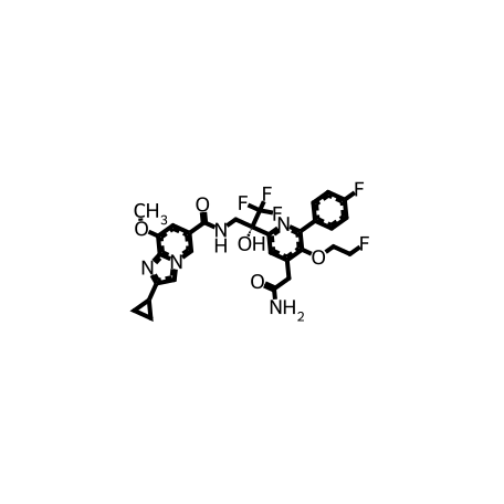 COc1cc(C(=O)NC[C@](O)(c2cc(CC(N)=O)c(OCCF)c(-c3ccc(F)cc3)n2)C(F)(F)F)cn2cc(C3CC3)nc12